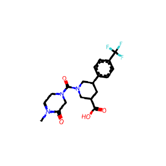 CN1CCN(C(=O)N2CC(C(=O)O)CC(c3ccc(C(F)(F)F)cc3)C2)CC1=O